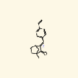 C=Cc1ccc(/C=C2/C(=O)C3(C)CCC2C3)cc1